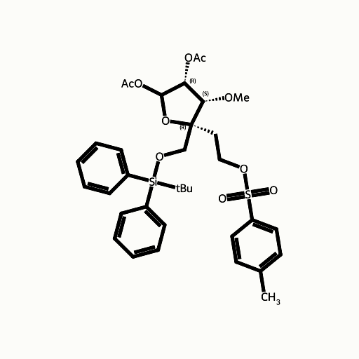 CO[C@H]1[C@@H](OC(C)=O)C(OC(C)=O)O[C@]1(CCOS(=O)(=O)c1ccc(C)cc1)CO[Si](c1ccccc1)(c1ccccc1)C(C)(C)C